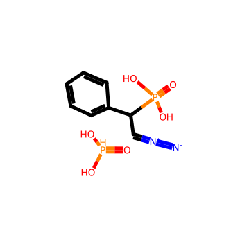 O=[PH](O)O.[N-]=[N+]=CC(c1ccccc1)P(=O)(O)O